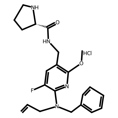 C=CCN(Cc1ccccc1)c1nc(OC)c(CNC(=O)[C@@H]2CCCN2)cc1F.Cl